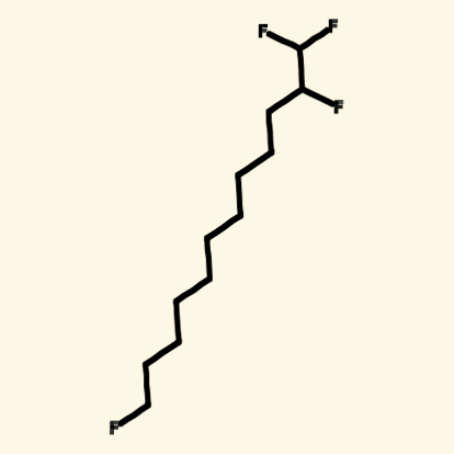 FCCCCCCCCCCC(F)C(F)F